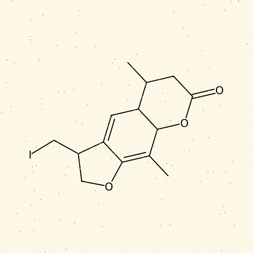 CC1=C2OCC(CI)C2=CC2C(C)CC(=O)OC12